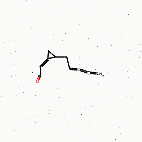 C=C=C=CCC1C/C1=C/C=O